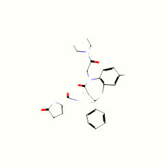 CCN(CC)C(=O)CN1C(=O)[C@@H](NC(=O)[C@@H]2CCC(=O)N2)[C@@H](c2ccccc2)Sc2cc(Cl)ccc21